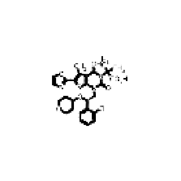 Cc1c(-c2ncco2)sc2c1C(O)N(C(C)(C)C(=O)O)C(=O)N2C[C@H](OC1CCOCC1)c1ccccc1Cl